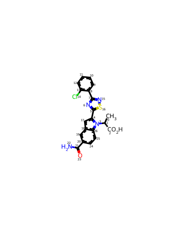 CC(C(=O)O)n1c(-c2nc(-c3ccccc3Cl)ns2)cc2cc(C(N)=O)ccc21